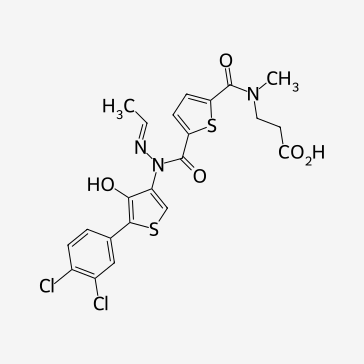 CC=NN(C(=O)c1ccc(C(=O)N(C)CCC(=O)O)s1)c1csc(-c2ccc(Cl)c(Cl)c2)c1O